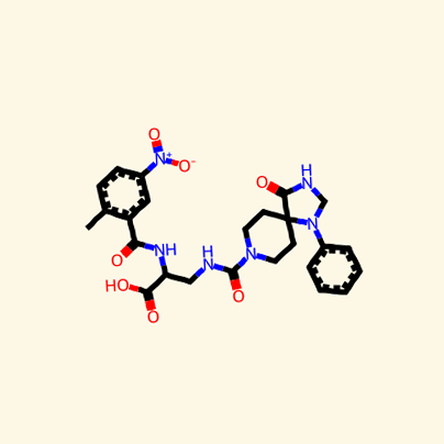 Cc1ccc([N+](=O)[O-])cc1C(=O)NC(CNC(=O)N1CCC2(CC1)C(=O)NCN2c1ccccc1)C(=O)O